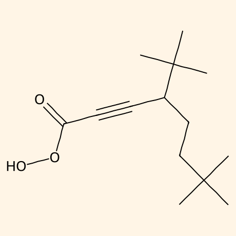 CC(C)(C)CCC(C#CC(=O)OO)C(C)(C)C